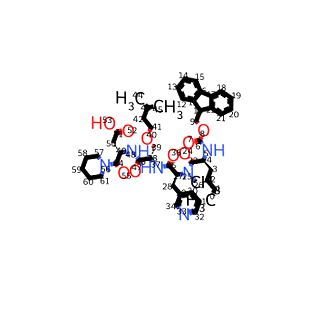 CCCC[C@H](NC(=O)OCC1c2ccccc2-c2ccccc21)C(=O)N(C)[C@@H](Cc1cccnc1)C(=O)N[C@@H](COCCC(C)C)C(=O)N[C@@H](CC(=O)O)C(=O)N1CCCCC1